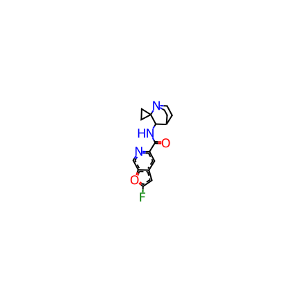 O=C(NC1C2CCN(CC2)C12CC2)c1cc2cc(F)oc2cn1